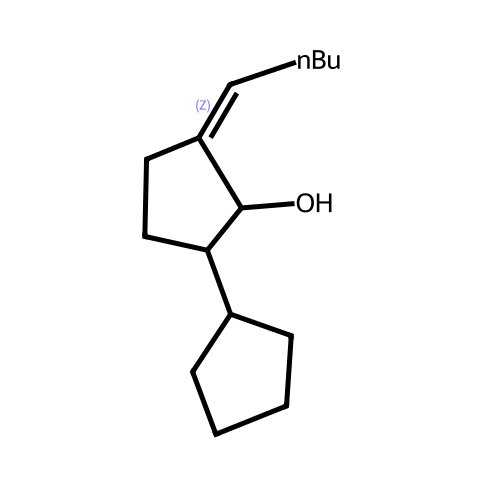 CCCC/C=C1/CCC(C2CCCC2)C1O